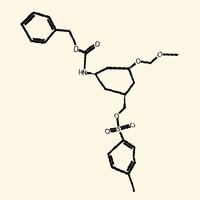 COCO[C@H]1C[C@@H](COS(=O)(=O)c2ccc(C)cc2)C[C@@H](NC(=O)OCc2ccccc2)C1